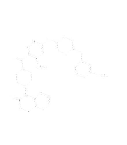 COc1cccc(CN2CCC(Oc3ccc(C(=O)N4CCC(N5C(=O)OCc6ccccc65)CC4)c(OC)c3)CC2)c1